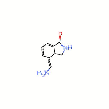 NC=C1C=CC=C2C(=O)NCC12